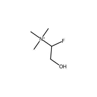 C[N+](C)(C)C(F)CO